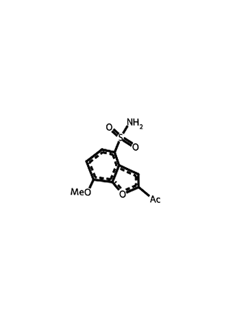 COc1ccc(S(N)(=O)=O)c2cc(C(C)=O)oc12